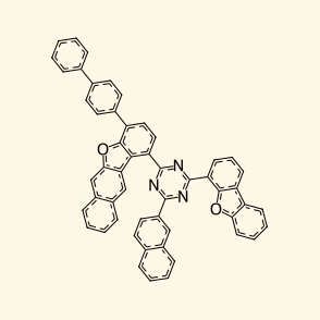 c1ccc(-c2ccc(-c3ccc(-c4nc(-c5ccc6ccccc6c5)nc(-c5cccc6c5oc5ccccc56)n4)c4c3oc3cc5ccccc5cc34)cc2)cc1